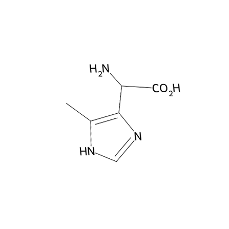 Cc1[nH]cnc1C(N)C(=O)O